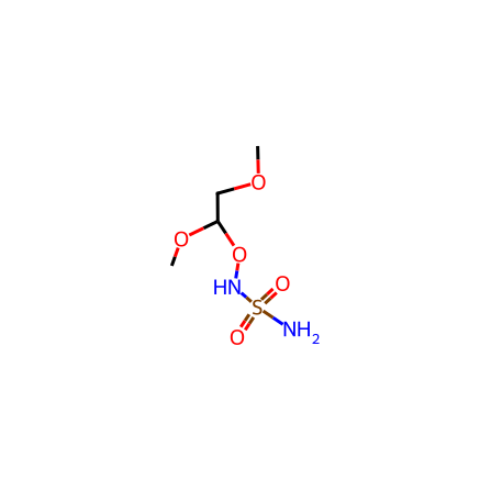 COCC(OC)ONS(N)(=O)=O